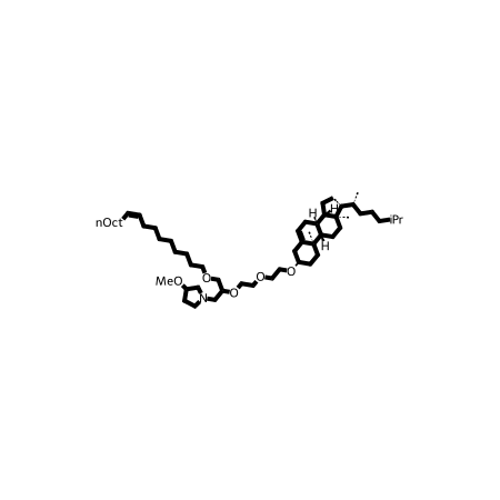 CCCCCCCC/C=C\CCCCCCCCOCC(CN1CCC(OC)C1)OCCOCCO[C@H]1CC[C@@]2(C)C(=CC[C@H]3[C@@H]4CC[C@H]([C@H](C)CCCC(C)C)[C@@]4(C)CC[C@@H]32)C1